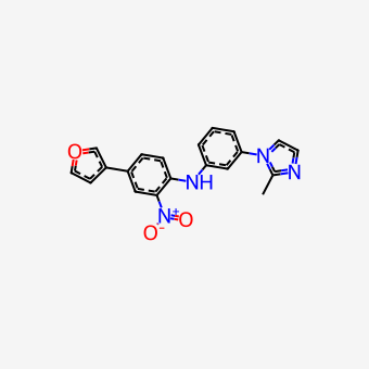 Cc1nccn1-c1cccc(Nc2ccc(-c3ccoc3)cc2[N+](=O)[O-])c1